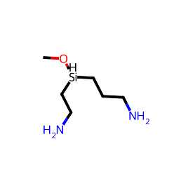 CO[SiH](CCN)CCCN